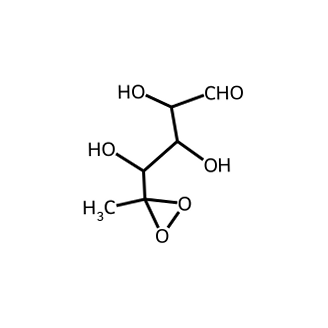 CC1(C(O)C(O)C(O)C=O)OO1